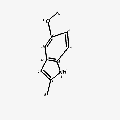 COc1[c]cc2[nH]c(C)cc2c1